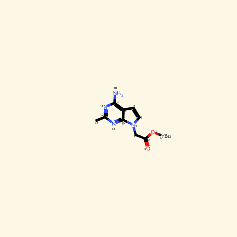 CCCCOC(=O)Cn1ccc2c(N)nc(C)nc21